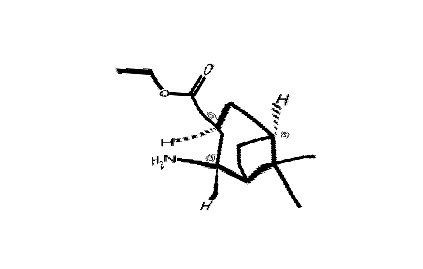 CCOC(=O)[C@H]1C[C@@H]2CC([C@@H]1N)C2(C)C